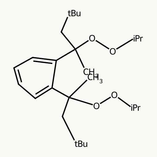 CC(C)OOC(C)(CC(C)(C)C)c1ccccc1C(C)(CC(C)(C)C)OOC(C)C